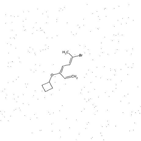 C=C/C(=C\C=C(/C)Br)OC1CCC1